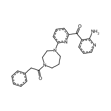 Nc1ncccc1C(=O)c1cccc(N2CCCN(C(=O)Cc3ccccc3)CC2)n1